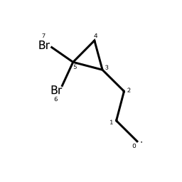 [CH2]CCC1CC1(Br)Br